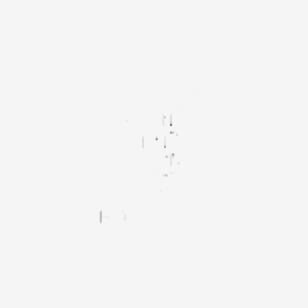 CC(C)OCCN(C(=O)Nc1ncc(SCCC(=O)O)s1)[C@H]1CC[C@H](C)CC1